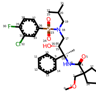 COCC1(C(=O)N[C@@](C)(c2ccccc2)[C@H](O)CN(CC(C)C)S(=O)(=O)c2ccc(F)c(Cl)c2)CCCC1